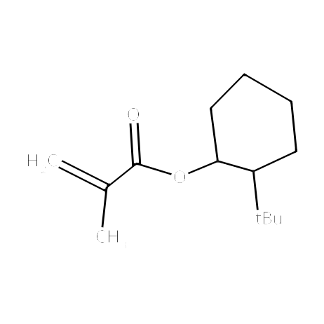 C=C(C)C(=O)OC1CCCCC1C(C)(C)C